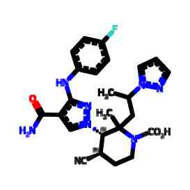 CC(CC1(C)[C@@H](n2cc(C(N)=O)c(Nc3ccc(F)cc3)n2)[C@H](C#N)CCN1C(=O)O)n1cccn1